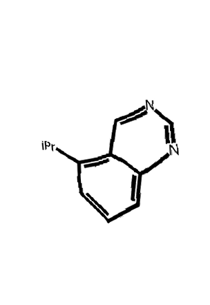 CC(C)c1cccc2ncncc12